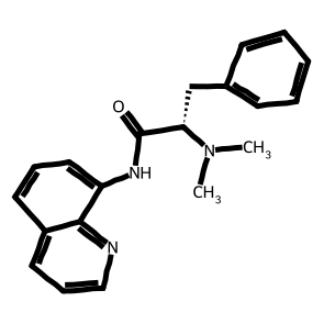 CN(C)[C@@H](Cc1ccccc1)C(=O)Nc1cccc2cccnc12